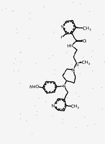 COc1ccc(N(Cc2cnccc2C)C2CCN([C@H](C)CCNC(=O)c3c(C)ccnc3F)CC2)cc1